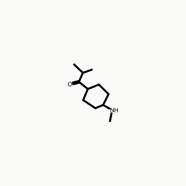 CNC1CCC(C(=O)C(C)C)CC1